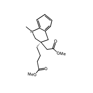 COC(=O)CCC[C@@]1(CC(=O)OC)Cc2ccccc2N(C)C1